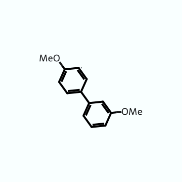 COc1[c]cc(-c2cccc(OC)c2)cc1